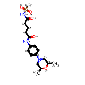 CC1CN(c2ccc(NC(=O)CCCC(=O)NS(=O)(=O)C(C)C)cc2)CC(C)O1